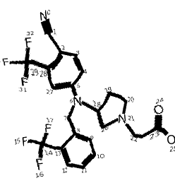 N#Cc1ccc(N(Cc2ccccc2C(F)(F)F)C2CCN(CC(=O)O)C2)cc1C(F)(F)F